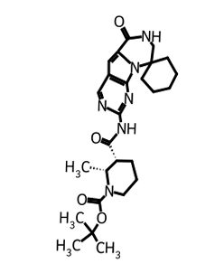 C[C@@H]1[C@H](C(=O)Nc2ncc3cc4n(c3n2)C2(CCCCC2)CNC4=O)CCCN1C(=O)OC(C)(C)C